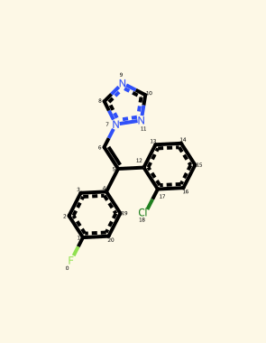 Fc1ccc(C(=Cn2cncn2)c2ccccc2Cl)cc1